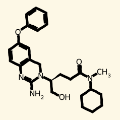 CN(C(=O)CC[C@@H](CO)N1Cc2cc(Oc3ccccc3)ccc2N=C1N)C1CCCCC1